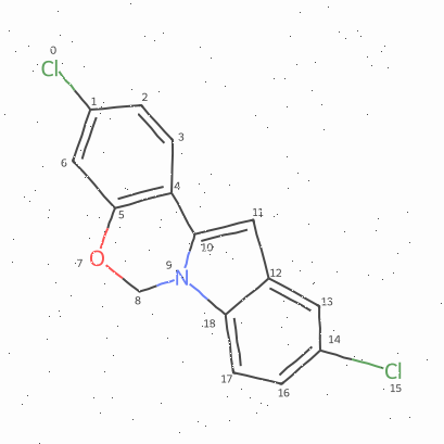 Clc1ccc2c(c1)OCn1c-2cc2cc(Cl)ccc21